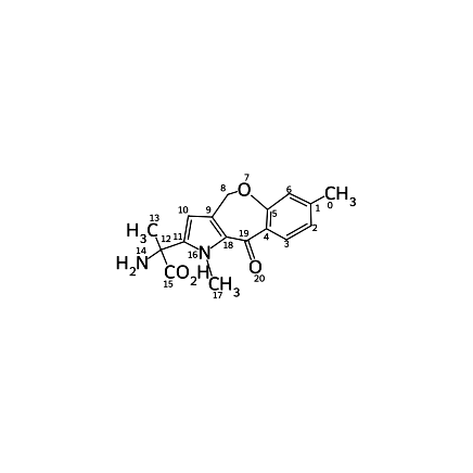 Cc1ccc2c(c1)OCc1cc(C(C)(N)C(=O)O)n(C)c1C2=O